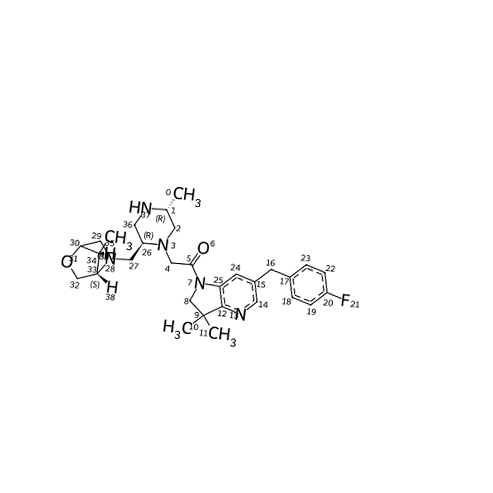 C[C@@H]1CN(CC(=O)N2CC(C)(C)c3ncc(Cc4ccc(F)cc4)cc32)[C@@H](CN2CC3OC[C@@H]2[C@H]3C)CN1